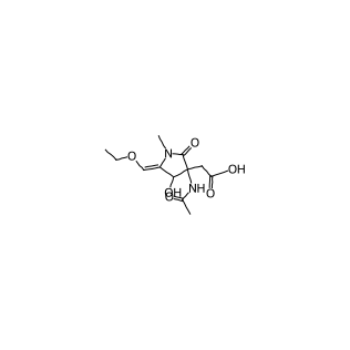 CCOC=C1C(O)C(CC(=O)O)(NC(C)=O)C(=O)N1C